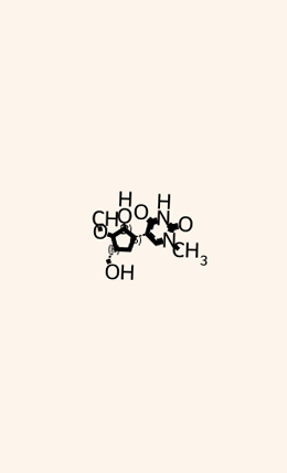 COC1[C@@H](CO)C[C@@H](c2cn(C)c(=O)[nH]c2=O)[C@H]1O